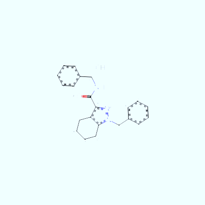 C[C@H](NC(=O)c1nn(Cc2ccccc2)c2c1CCCC2)c1ccccc1